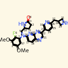 COc1cc(OC)c(F)c(N(CC2CCC(=O)N2)c2ccc3ncc(-c4ccc(CC5CNC5)nc4)nc3n2)c1